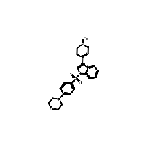 CN1CC=C(c2cn(S(=O)(=O)c3ccc(N4CCOCC4)cc3)c3ccccc23)CC1